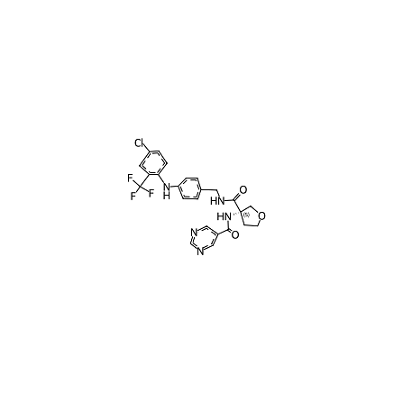 O=C(N[C@@]1(C(=O)NCc2ccc(Nc3ccc(Cl)cc3C(F)(F)F)cc2)CCOC1)c1cncnc1